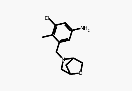 Cc1c(Cl)cc(N)cc1CN1CC2CC1CO2